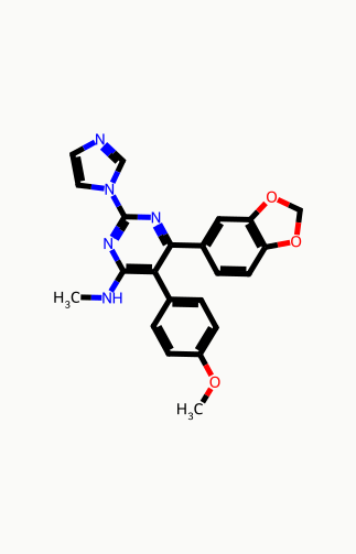 CNc1nc(-n2ccnc2)nc(-c2ccc3c(c2)OCO3)c1-c1ccc(OC)cc1